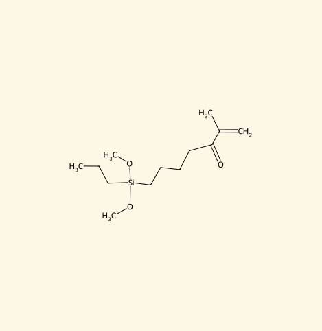 C=C(C)C(=O)CCCC[Si](CCC)(OC)OC